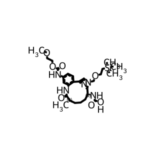 COCCOC(=O)Nc1ccc2c(c1)NC(=O)[C@H](C)CCC[C@H](NC(=O)O)c1nc-2cn1COCC[Si](C)(C)C